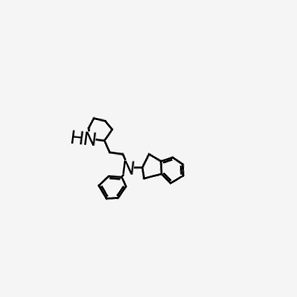 c1ccc(N(CCC2CCCCN2)C2Cc3ccccc3C2)cc1